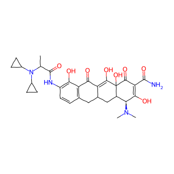 CC(C(=O)Nc1ccc2c(c1O)C(=O)C1=C(O)C3(O)C(=O)C(C(N)=O)=C(O)[C@@H](N(C)C)C3CC1C2)N(C1CC1)C1CC1